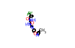 Cc1ccnc(O[C@H]2CC[C@@H](N3CC(NC(=O)CNC(=O)c4cccc(C(F)(F)F)c4)C3)CC2)c1